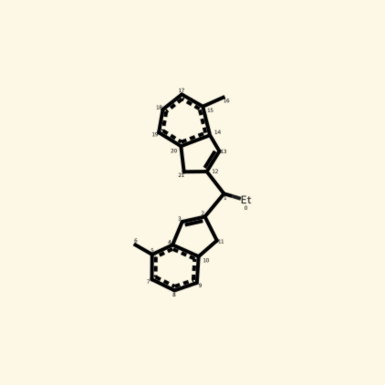 CCC(C1=Cc2c(C)cccc2C1)C1=Cc2c(C)cccc2C1